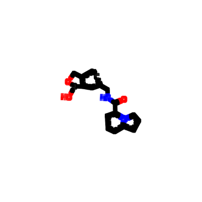 O=C(NCc1ccc2c(c1)B(O)OC2)c1cccc2cccn12